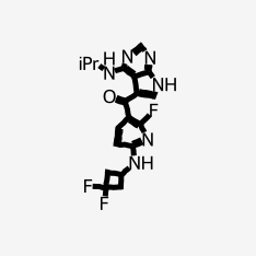 CC(C)Nc1ncnc2[nH]cc(C(=O)c3ccc(NC4CC(F)(F)C4)nc3F)c12